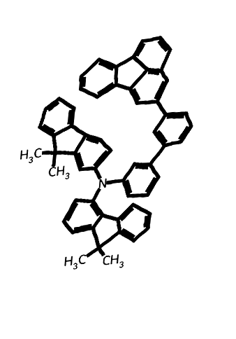 CC1(C)c2ccccc2-c2ccc(N(c3cccc(-c4cccc(-c5cc6c7c(cccc7c5)-c5ccccc5-6)c4)c3)c3cccc4c3-c3ccccc3C4(C)C)cc21